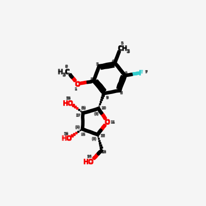 COc1cc(C)c(F)cc1[C@@H]1O[C@H](CO)[C@H](O)[C@@H]1O